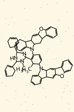 CC1C(C2=NC(C3=CC=CCC3)NC(C3=CC=CCC3)N2C)=C(N2C3=CC=CCC3C3C=C4Oc5ccccc5C4CC32)C=CC1N1c2ccccc2C2C=c3oc4ccccc4c3=CC21